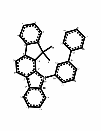 CC1(C)c2ccccc2-c2ccc3c4ccccc4n(-c4cccc(-c5ccccc5)c4)c3c21